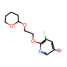 Fc1cc(Br)cnc1OCCOC1CCCCO1